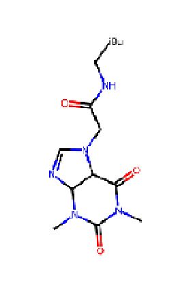 CCC(C)CNC(=O)CN1C=NC2C1C(=O)N(C)C(=O)N2C